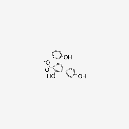 COC(=O)c1ccccc1O.Oc1ccccc1.Oc1ccccc1